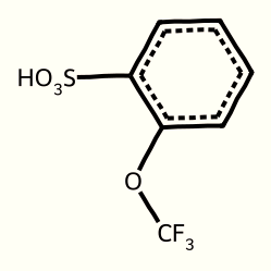 O=S(=O)(O)c1ccccc1OC(F)(F)F